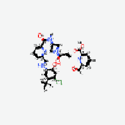 C=CC(=O)N1CC(N(C)C(=O)c2cccc(CNc3cc(C(C)(C)C)c(Cl)cc3O)n2)C1.COC(=O)c1cccc(C=O)n1